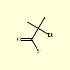 CCC(C)(C)C(=O)[S]